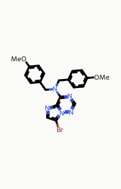 COc1ccc(CN(Cc2ccc(OC)cc2)c2ncnn3c(Br)cnc23)cc1